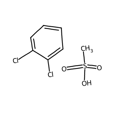 CS(=O)(=O)O.Clc1ccccc1Cl